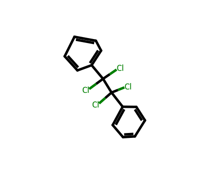 ClC(Cl)(c1ccccc1)C(Cl)(Cl)c1ccccc1